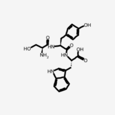 N[C@@H](CO)C(=O)N[C@@H](Cc1ccc(O)cc1)C(=O)N[C@@H](Cc1c[nH]c2ccccc12)C(=O)O